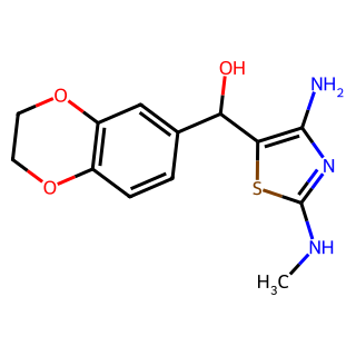 CNc1nc(N)c(C(O)c2ccc3c(c2)OCCO3)s1